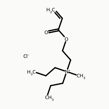 C=CC(=O)OCC[N+](C)(CCC)CCC.[Cl-]